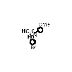 COc1cccc(C(=NNc2ccc(Br)cc2)C(=O)O)c1